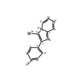 Fc1ccc(-c2nc3cnccn3c2Br)cc1